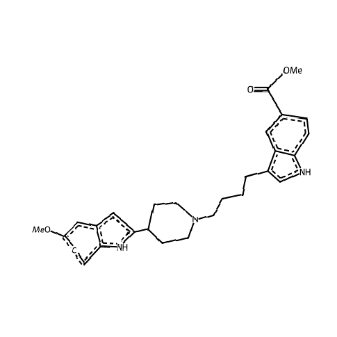 COC(=O)c1ccc2[nH]cc(CCCCN3CCC(c4cc5cc(OC)ccc5[nH]4)CC3)c2c1